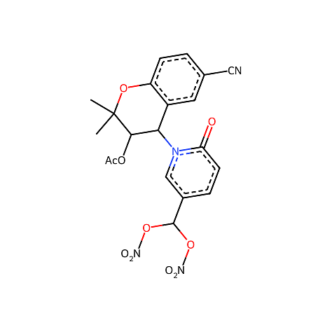 CC(=O)OC1C(n2cc(C(O[N+](=O)[O-])O[N+](=O)[O-])ccc2=O)c2cc(C#N)ccc2OC1(C)C